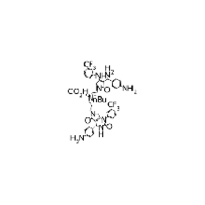 CCCC[N+](CCCN1CC2=C(C1=O)[C@@H](c1ccc(N)cc1)NC(=O)N2c1cccc(C(F)(F)F)c1)(CCN1CC(Nc2cccc(C(F)(F)F)c2)=C([C@H](N)c2ccc(N)cc2)C1=O)CC(=O)O